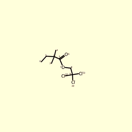 CCC(C)(C)C(=O)OCC(Cl)(Cl)Cl